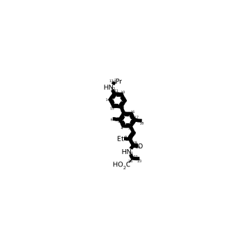 CC/C(=C\c1cc(C)c(-c2ccc(NC(C)C)cc2)cc1C)C(=O)N[C@H](C)C(=O)O